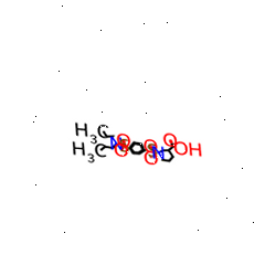 CCCN(CCC)S(=O)(=O)c1ccc(S(=O)(=O)N2CCCC(C(=O)O)C2)cc1